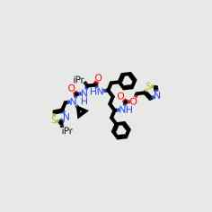 CC(C)c1nc(CN(C(=O)NC(C(=O)NC(CCC(Cc2ccccc2)NC(=O)OCc2cncs2)Cc2ccccc2)C(C)C)C2CC2)cs1